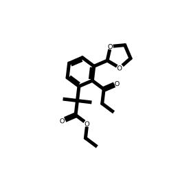 CCOC(=O)C(C)(C)c1cccc(C2OCCO2)c1C(=O)CC